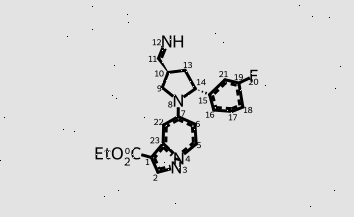 CCOC(=O)c1cnn2ccc(N3C[C@@H](C=N)C[C@@H]3c3cccc(F)c3)cc12